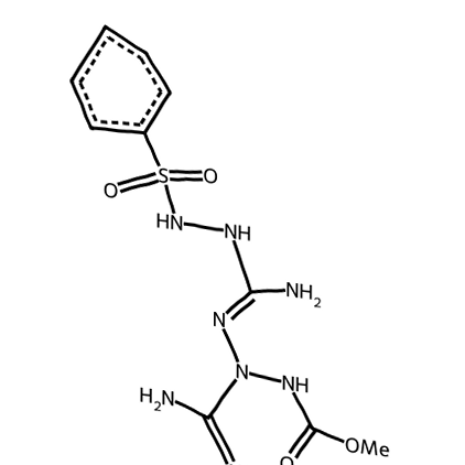 COC(=O)NN(N=C(N)NNS(=O)(=O)c1ccccc1)C(=N)N